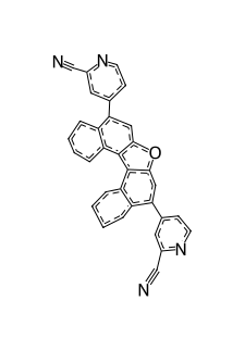 N#Cc1cc(-c2cc3oc4cc(-c5ccnc(C#N)c5)c5ccccc5c4c3c3ccccc23)ccn1